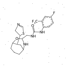 O=C(NCC1NC2CCCC(O1)C(C1CN=CS1)C2)Nc1ccc(F)cc1C(F)(F)F